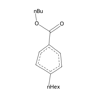 CCCCCCc1ccc(C(=O)OCCCC)cc1